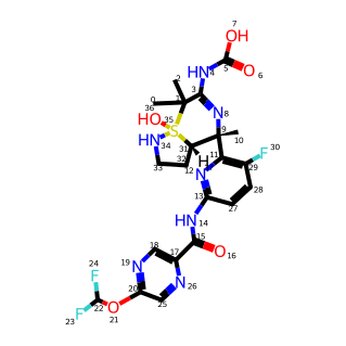 CC1(C)C(NC(=O)O)=N[C@](C)(c2nc(NC(=O)c3cnc(OC(F)F)cn3)ccc2F)[C@@H]2CCNS21O